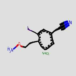 Cl.N#Cc1ccc(CON)c(I)c1